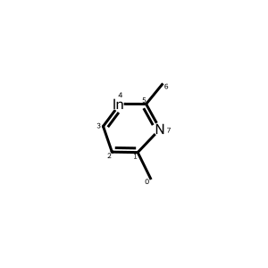 CC1=C[CH]=[In][C](C)=N1